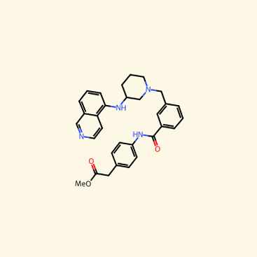 COC(=O)Cc1ccc(NC(=O)c2cccc(CN3CCCC(Nc4cccc5cnccc45)C3)c2)cc1